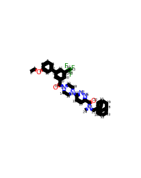 CCOc1cccc(-c2cc(C(=O)N3CCN(c4ccc(C(=O)N(C)CC56CC7CC(CC(C7)C5)C6)nn4)CC3)cc(C(F)(F)F)c2)c1